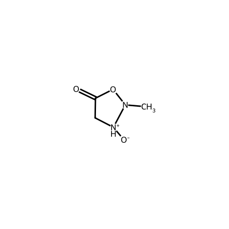 CN1OC(=O)C[NH+]1[O-]